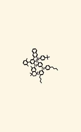 CCCCc1ccc(N(c2ccc(CCCC)cc2)c2ccc3c(c2)N(c2cc4c(cc2C)C(C)(C)CCC4(C)C)c2cc(-c4c(C)cccc4C)cc4c2B3N(c2ccc(C(C)(C)C)cc2)c2cc3ccccc3cc2-4)cc1